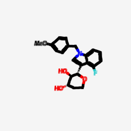 COc1ccc(Cn2cc([C@@H]3OCC[C@H](O)[C@H]3O)c3c(F)cccc32)cc1